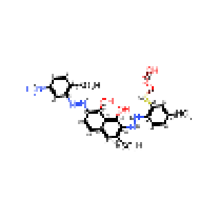 Nc1ccc(S(=O)(=O)O)c(/N=N/c2ccc3cc(S(=O)(=O)O)c(/N=N/c4ccc([N+](=O)[O-])cc4SOOO)c(O)c3c2O)c1